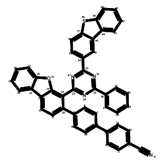 N#Cc1ccc(-c2ccc(-c3ccc4c(oc5ccccc54)c3-c3nc(-c4ccccc4)nc(-c4ccc5sc6ccccc6c5c4)n3)cc2)cc1